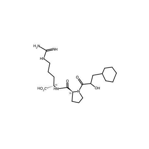 N=C(N)NCCC[C@H](NC(=O)[C@@H]1CCCN1C(=O)C(O)CC1CCCCC1)C(=O)O